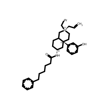 C=CC[N@@+]1(CC(C)C)CC[C@]2(c3cccc(O)c3)C[C@H](NC(=O)CCCCCc3ccccc3)CCC2C1